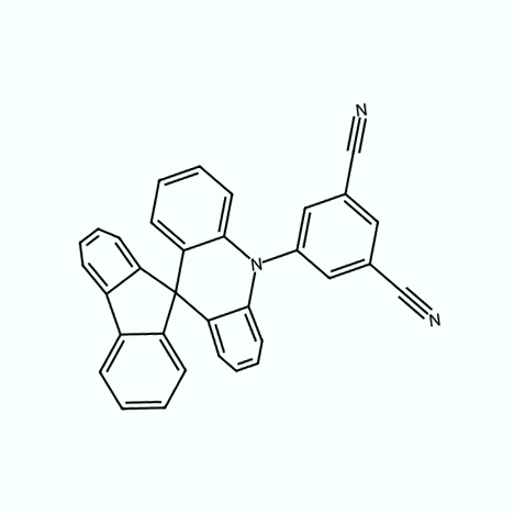 N#Cc1cc(C#N)cc(N2c3ccccc3C3(c4ccccc4-c4ccccc43)c3ccccc32)c1